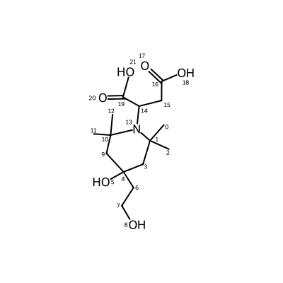 CC1(C)CC(O)(CCO)CC(C)(C)N1C(CC(=O)O)C(=O)O